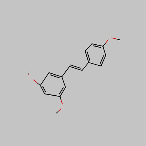 N#COc1ccc(C=Cc2cc(OC#N)cc(OC#N)c2)cc1